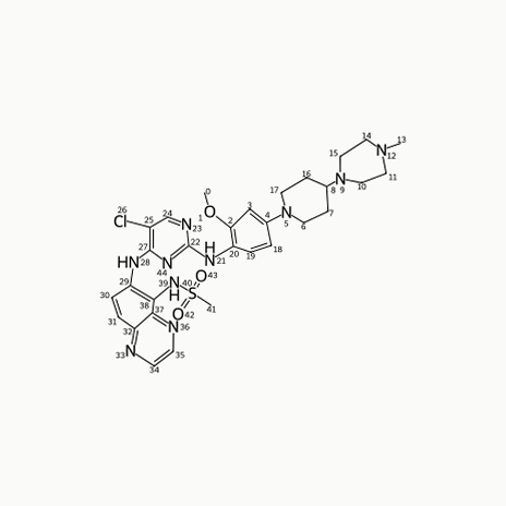 COc1cc(N2CCC(N3CCN(C)CC3)CC2)ccc1Nc1ncc(Cl)c(Nc2ccc3nccnc3c2NS(C)(=O)=O)n1